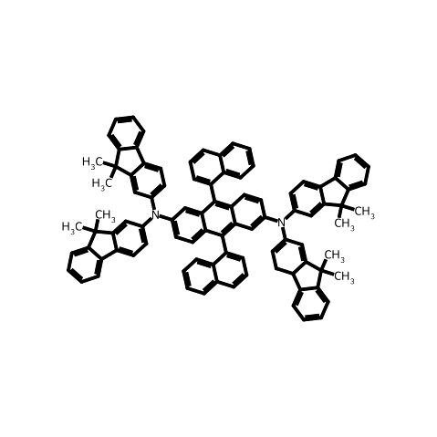 CC1(C)C2=CC(N(c3ccc4c(c3)C(C)(C)c3ccccc3-4)c3ccc4c(-c5cccc6ccccc56)c5cc(N(c6ccc7c(c6)C(C)(C)c6ccccc6-7)c6ccc7c(c6)C(C)(C)c6ccccc6-7)ccc5c(-c5cccc6ccccc56)c4c3)=CCC2c2ccccc21